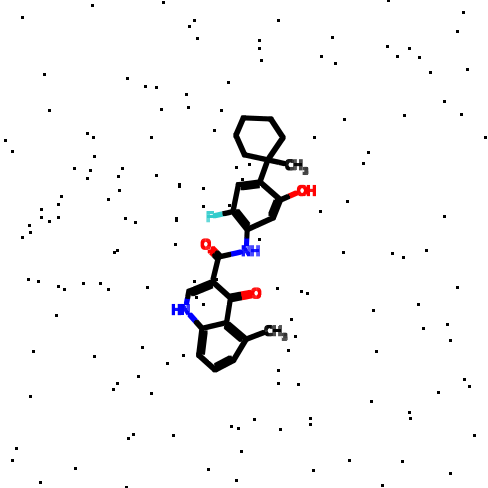 Cc1cccc2[nH]cc(C(=O)Nc3cc(O)c(C4(C)CCCCC4)cc3F)c(=O)c12